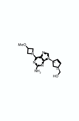 COC1CN(c2nc(N)nc3c2ncn3[C@H]2C=C[C@@H](CO)C2)C1